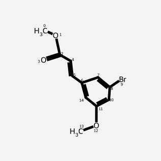 COC(=O)C=Cc1cc(Br)cc(OC)c1